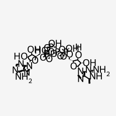 C=C1NC(N)=Nc2c1ncn2[C@@H]1O[C@H](COP(=O)(O)OP(=O)(O)CP(=O)(O)OP(=O)(O)OC[C@H]2O[C@@H](n3cnc4c(N)ncnc43)C(O)C2O)C(O)[C@@H]1O